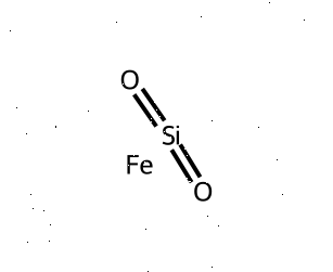 O=[Si]=O.[Fe]